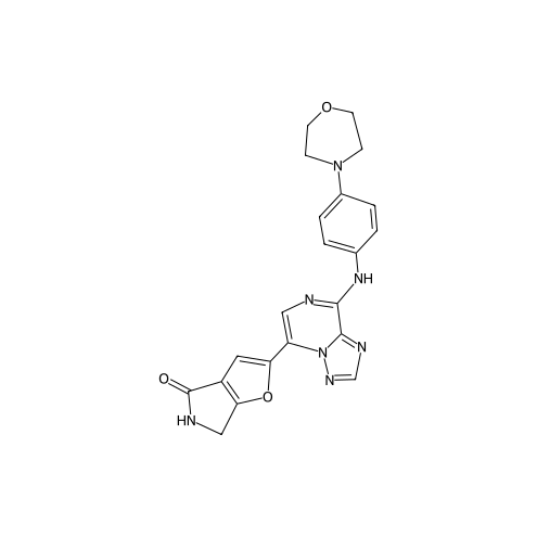 O=C1NCc2oc(-c3cnc(Nc4ccc(N5CCOCC5)cc4)c4ncnn34)cc21